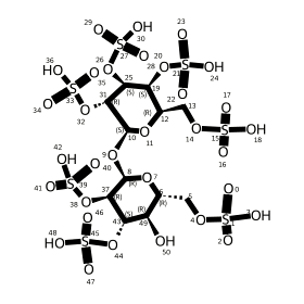 O=S(=O)(O)OC[C@H]1O[C@H](O[C@@H]2O[C@H](COS(=O)(=O)O)[C@H](OS(=O)(=O)O)[C@H](OS(=O)(=O)O)[C@H]2OS(=O)(=O)O)[C@H](OS(=O)(=O)O)[C@@H](OS(=O)(=O)O)[C@@H]1O